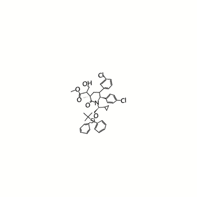 COC(=O)C(CO)[C@@]1(C)CC(c2cccc(Cl)c2)[C@@H](c2ccc(Cl)cc2)N([C@H](CO[Si](c2ccccc2)(c2ccccc2)C(C)(C)C)C2CC2)C1=O